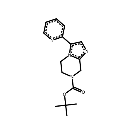 CC(C)(C)OC(=O)N1CCn2c(-c3ccccn3)cnc2C1